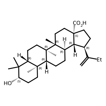 C=C(CC)[C@@H]1CC[C@]2(C(=O)O)CC[C@]3(C)[C@H](CC[C@@H]4[C@@]5(C)CC[C@H](O)C(C)(C)[C@@H]5CC[C@]43C)[C@@H]12